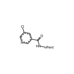 CCCCCNC(=O)c1cncc(Cl)c1